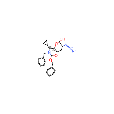 [N-]=[N+]=NC1CC[C@@H]([C@@H](C2CC2)N(Cc2ccccc2)C(=O)OCc2ccccc2)OC1O